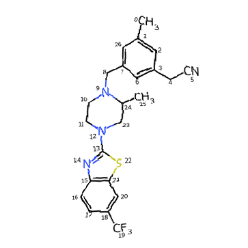 Cc1cc(CC#N)cc(CN2CCN(c3nc4ccc(C(F)(F)F)cc4s3)CC2C)c1